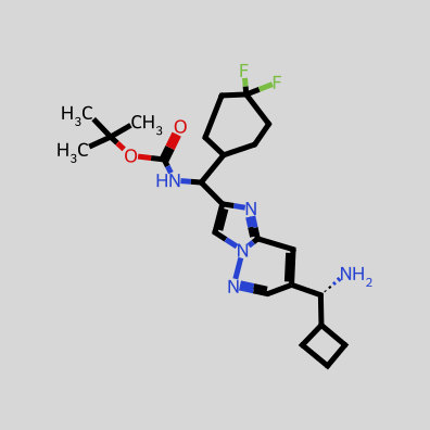 CC(C)(C)OC(=O)NC(c1cn2ncc([C@H](N)C3CCC3)cc2n1)C1CCC(F)(F)CC1